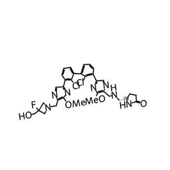 COc1nc(-c2cccc(-c3cccc(-c4cnc(CN5CC(F)(CO)C5)c(OC)n4)c3Cl)c2Cl)cnc1CNC[C@@H]1CCC(=O)N1